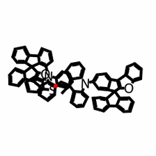 CC1(Cc2cccc3c4c(oc23)C2(c3ccccc3-c3cccc(N5c6ccccc6Sc6ccccc65)c32)c2ccccc2-4)c2ccccc2N(c2ccc3c(c2)C2(c4ccccc4-c4ccccc42)c2oc4ccccc4c2-3)c2ccccc21